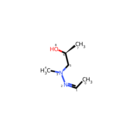 C/C=N\N(C)C[C@H](C)O